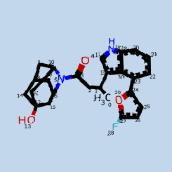 CC(CC(=O)N1C2CC3CC1CC(O)(C3)C2)c1c[nH]c2cccc(-c3ccc(F)o3)c12